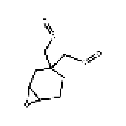 O=NCC1(CN=O)CCC2OC2C1